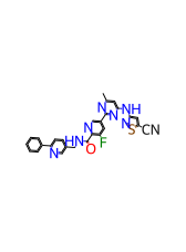 Cc1cc(Nc2cc(C#N)sn2)nc(-c2cnc(C(=O)NCc3ccc(-c4ccccc4)nc3)c(F)c2)n1